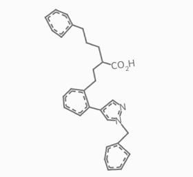 O=C(O)C(CCCc1ccccc1)CCc1ccccc1-c1cnn(Cc2ccccc2)c1